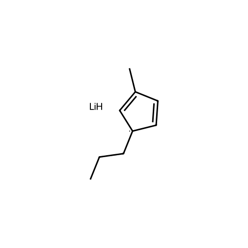 CCC[C]1C=CC(C)=C1.[LiH]